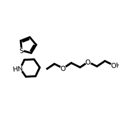 C1CCNCC1.CCOCCOCCO.c1ccsc1